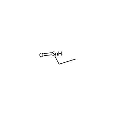 C[CH2][SnH]=[O]